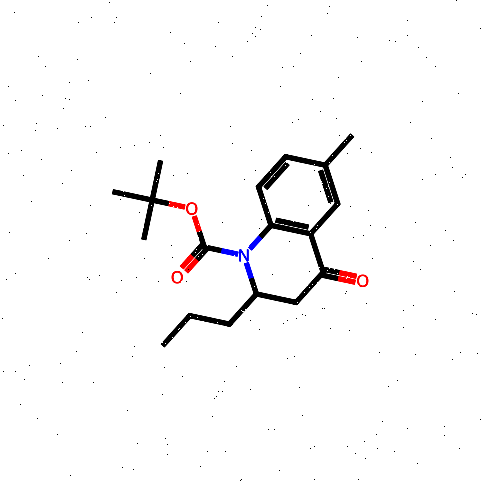 CCCC1CC(=O)c2cc(C)ccc2N1C(=O)OC(C)(C)C